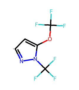 FC(F)(F)Oc1c[c]nn1C(F)(F)F